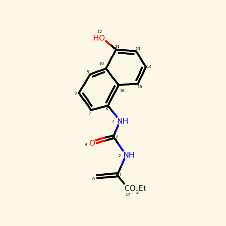 C=C(NC(=O)Nc1cccc2c(O)cccc12)C(=O)OCC